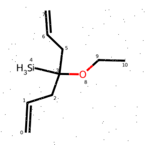 C=CCC([SiH3])(CC=C)OCC